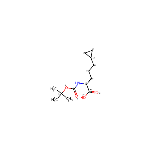 CC(C)(C)OC(=O)N[C@@H](CCCC1CC1)C(=O)O